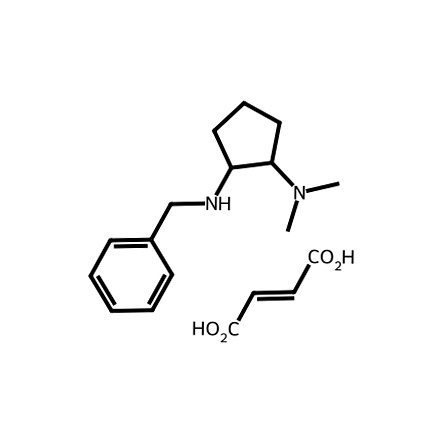 CN(C)C1CCCC1NCc1ccccc1.O=C(O)C=CC(=O)O